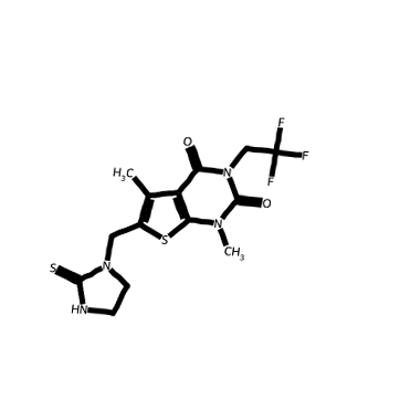 Cc1c(CN2CCNC2=S)sc2c1c(=O)n(CC(F)(F)F)c(=O)n2C